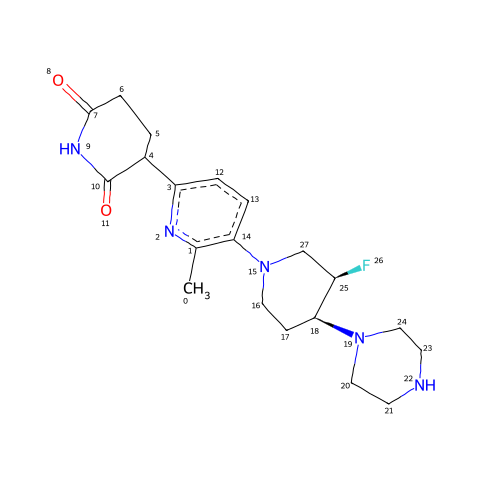 Cc1nc(C2CCC(=O)NC2=O)ccc1N1CC[C@H](N2CCNCC2)[C@H](F)C1